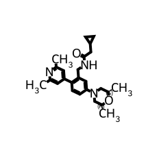 Cc1cc(-c2ccc(N3C[C@@H](C)O[C@@H](C)C3)cc2CNC(=O)CC2CC2)cc(C)n1